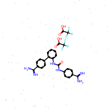 N=C(N)c1ccc(NC(=O)Nc2ccccc2-c2ccc(C(=N)N)cc2)cc1.O=C(O)C(F)(F)F.O=C(O)C(F)(F)F